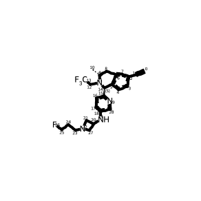 C#Cc1ccc2c(c1)C[C@@H](C)N(CC(F)(F)F)[C@@H]2c1ccc(NC2CN(CCCF)C2)cn1